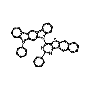 c1ccc(-c2nc(-n3c4ccccc4c4cc5c6ccccc6n(-c6ccccc6)c5cc43)c3sc4cc5ccccc5cc4c3n2)cc1